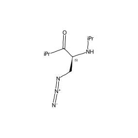 CC(C)N[C@@H](CN=[N+]=[N-])C(=O)C(C)C